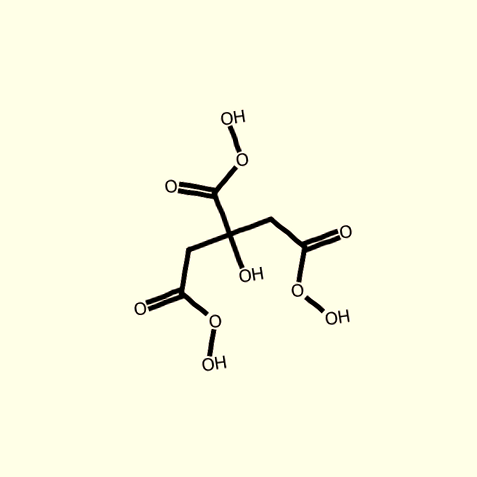 O=C(CC(O)(CC(=O)OO)C(=O)OO)OO